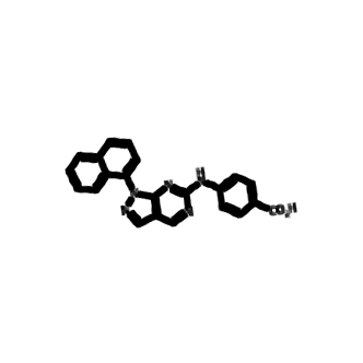 O=C(O)c1ccc(Nc2ncc3cnn(-c4cccc5ccccc45)c3n2)cc1